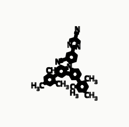 Cc1cc(C)c(-c2ccc3c(c2)c2cc(-c4c(C)cc(C)cc4C)ccc2n3-c2ccc(-c3ncc(C#N)cn3)cc2C#N)c(C)c1